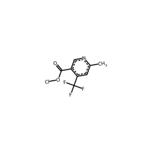 Cc1cc(C(F)(F)F)c(C(=O)OCl)cn1